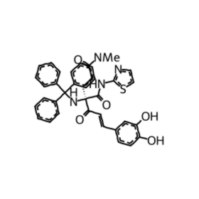 CNC(=O)CC[C@@](NC(c1ccccc1)(c1ccccc1)c1ccccc1)(C(=O)C=Cc1ccc(O)c(O)c1)C(=O)Nc1nccs1